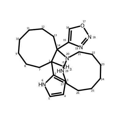 CC1(c2ccc[nH]2)CCCCCCCC1(c1conn1)N1CCCCCCCN1